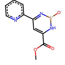 COC(=O)C1=CC(c2ccccn2)=N[S+]([O-])N1